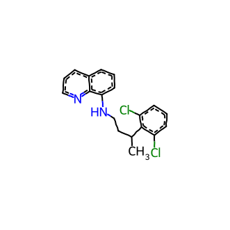 CC(CCNc1cccc2cccnc12)c1c(Cl)cccc1Cl